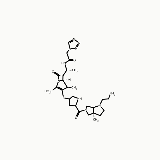 C[C@@H](NC(=O)Cn1cnnn1)[C@H]1C(=O)N2C(C(=O)O)=C(SC3CNC(C(=O)N4CC5N(CCN)CC[C@@]5(C)C4)C3)[C@H](C)[C@H]12